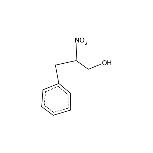 O=[N+]([O-])C(CO)Cc1ccccc1